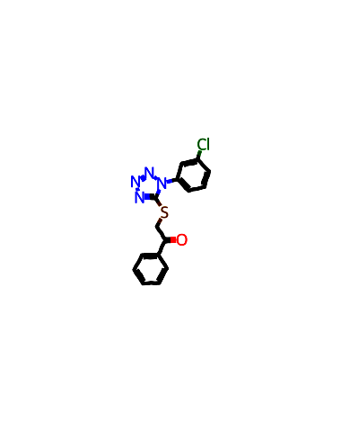 O=C(CSc1nnnn1-c1cccc(Cl)c1)c1ccccc1